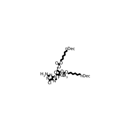 CCCCCCCCCCCCCCCCOC(=O)OC[C@H]1O[C@@H](n2cnc3c(Cl)nc(N)nc32)[C@](C)(F)[C@@H]1OC(=O)OCCCCCCCCCCCCCCCC